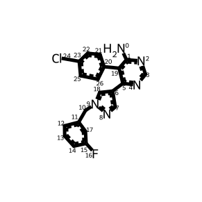 Nc1ncnc(-c2cnn(Cc3cccc(F)c3)c2)c1-c1ccc(Cl)cc1